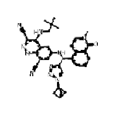 Cn1ccc2c([C@H](Nc3cc(C#N)c4nnc(C#N)c(NCC(C)(C)C)c4c3)c3cn(C45CC(C4)C5)nn3)cccc2c1=O